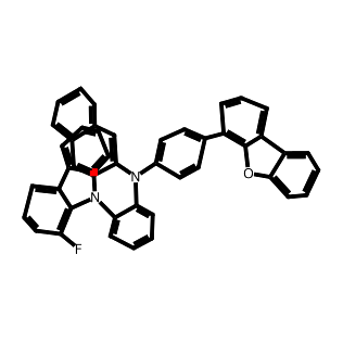 Fc1cccc2c3ccccc3n(-c3ccccc3N(c3ccc(-c4cccc5c4oc4ccccc45)cc3)c3ccc4ccccc4c3)c12